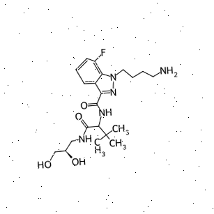 CC(C)(C)C(NC(=O)c1nn(CCCCN)c2c(F)cccc12)C(=O)NC[C@@H](O)CO